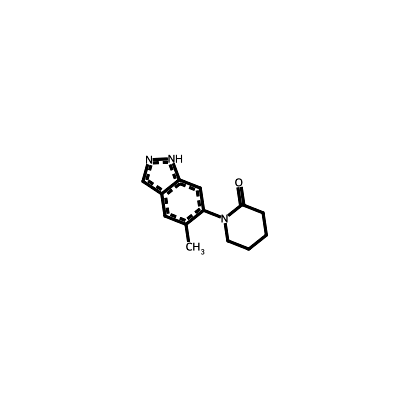 Cc1cc2cn[nH]c2cc1N1CCCCC1=O